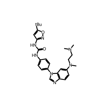 CN(C)CCN(C)c1ccc2ncn(-c3ccc(NC(=O)Nc4cc(C(C)(C)C)on4)cc3)c2c1